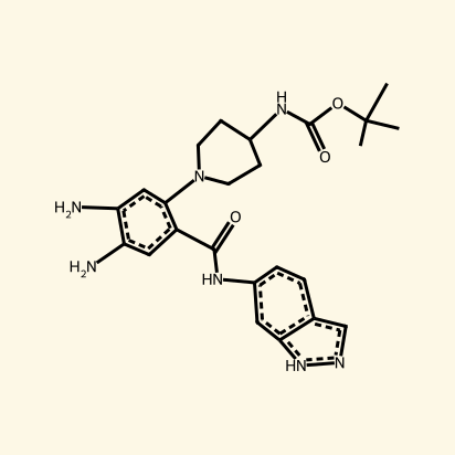 CC(C)(C)OC(=O)NC1CCN(c2cc(N)c(N)cc2C(=O)Nc2ccc3cn[nH]c3c2)CC1